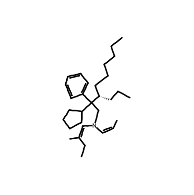 C/C=C\N(/C=C(/C)CC)CC(c1ccccc1)(C1CCCC1)[C@@H](CCC)CCCCCC